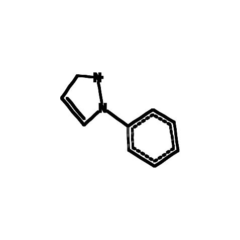 C1=CN(c2ccccc2)[N]C1